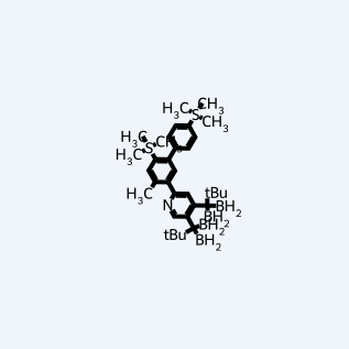 BC(B)(c1cnc(-c2cc(-c3ccc(S(C)(C)C)cc3)c(S(C)(C)C)cc2C)cc1C(B)(B)C(C)(C)C)C(C)(C)C